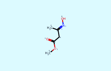 COC(=O)C/C(C)=N/O